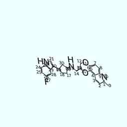 Cc1ccc2c3c(ccc2n1)OC[C@H](CN[C@H]1CC[C@@H](c2c[nH]c4ccc(F)cc24)C1)O3